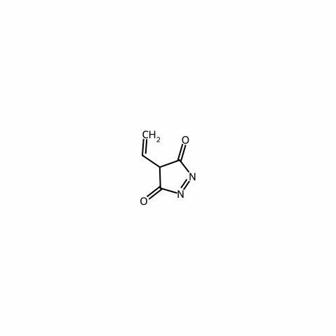 C=CC1C(=O)N=NC1=O